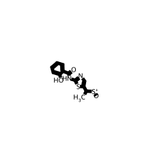 CC([S+]=O)c1cnc(NC(=O)c2ccccc2O)s1